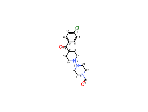 O=CN1CCN(N2CCC(C(=O)c3ccc(Cl)cc3)CC2)CC1